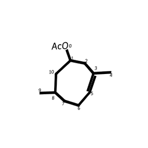 CC(=O)OC1CC(C)=CCCC(C)C1